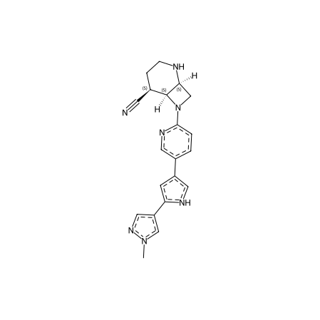 Cn1cc(-c2cc(-c3ccc(N4C[C@@H]5NCC[C@H](C#N)[C@@H]54)nc3)c[nH]2)cn1